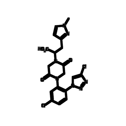 Cn1ccc(CC(C(=O)O)N2CC(=O)N(c3cc(Cl)ccc3-n3cc(Cl)nn3)CC2=O)n1